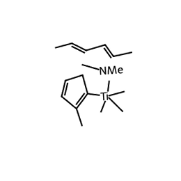 CC1=[C]([Ti]([CH3])([CH3])([CH3])[CH3])CC=C1.CC=CC=CC.CNC